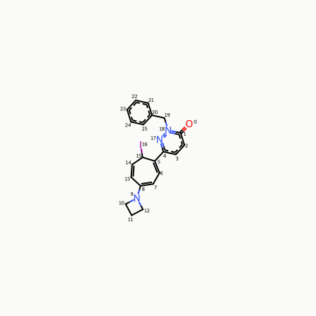 O=c1ccc(C2=CC=C(N3CCC3)C=CC2I)nn1Cc1ccccc1